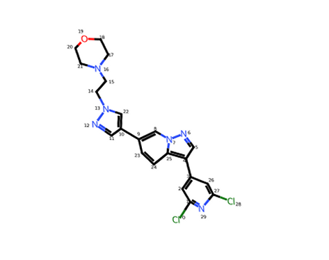 Clc1cc(-c2cnn3cc(-c4cnn(CCN5CCOCC5)c4)ccc23)cc(Cl)n1